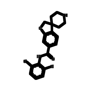 O=C(Nc1c(Cl)cccc1Cl)c1ccc2c(c1)OCC21CCNCC1